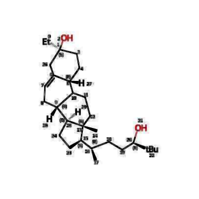 CC[C@]1(O)CC[C@H]2C(=CC[C@@H]3C2CC[C@]2(C)[C@@H]([C@H](C)CC[C@@H](O)C(C)(C)C)CC[C@@H]32)C1